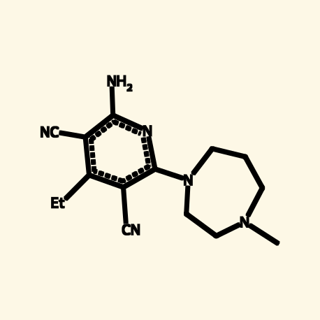 CCc1c(C#N)c(N)nc(N2CCCN(C)CC2)c1C#N